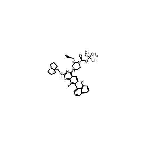 CC(C)(C)OC(=O)N1CCN(c2nc(NCC34CCCN3CCC4)nc3c(F)c(-c4cccc5cccc(Cl)c45)ccc23)C[C@@H]1CC#N